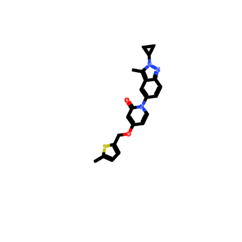 Cc1ccc(COc2ccn(-c3ccc4nn(C5CC5)c(C)c4c3)c(=O)c2)s1